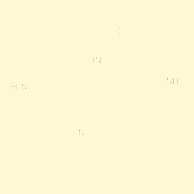 C1COCCN1.Nc1ccc(-c2cc3cc(N)ccc3nc2-c2ccccc2)cc1